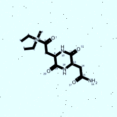 CC[N+](C)(CC)C(=O)CC1NC(=O)C(CC(N)=O)NC1=O